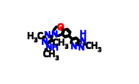 CCNc1nc(C)nc(N2CCOc3ccc(-c4cnc5nc(C)[nH]c5c4)cc3C2)c1C